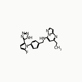 CCc1cc(NCc2ccc(-n3c(F)ccc3-c3nnn[nH]3)cc2)n2nccc2n1